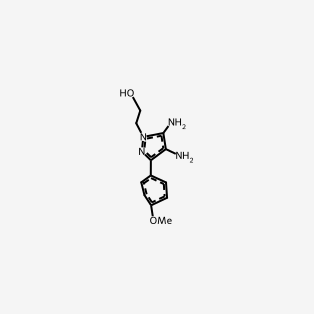 COc1ccc(-c2nn(CCO)c(N)c2N)cc1